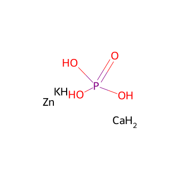 O=P(O)(O)O.[CaH2].[KH].[Zn]